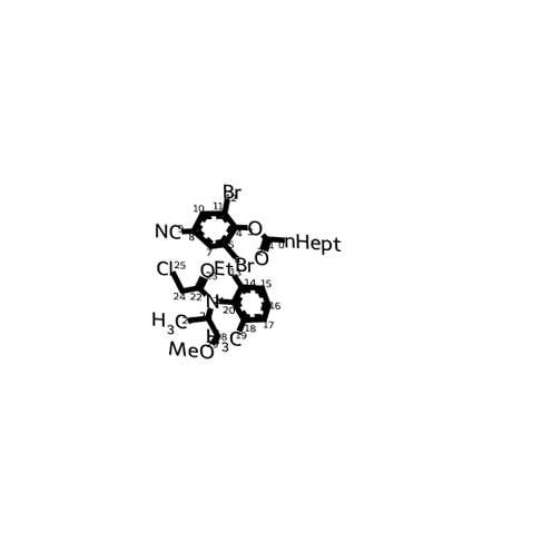 CCCCCCCC(=O)Oc1c(Br)cc(C#N)cc1Br.CCc1cccc(C)c1N(C(=O)CCl)C(C)COC